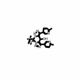 Cc1ccc(-c2nnn(C[Si](C)(C)C)c2C(O)c2c(-c3ccc(C)nc3)nnn2C[Si](C)(C)C)cn1